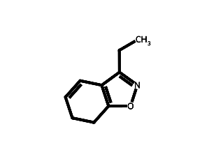 CCc1noc2c1C=CCC2